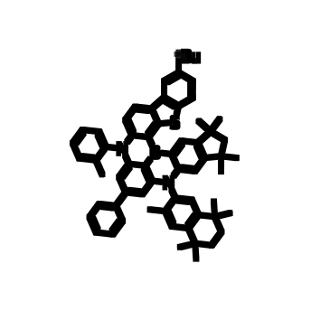 Cc1cc2c(cc1N1c3cc4c(cc3B3c5c1cc(-c1ccccc1)cc5N(c1ccccc1C)c1ccc5c(sc6ccc(C(C)(C)C)cc65)c13)C(C)(C)CC4(C)C)C(C)(C)CCC2(C)C